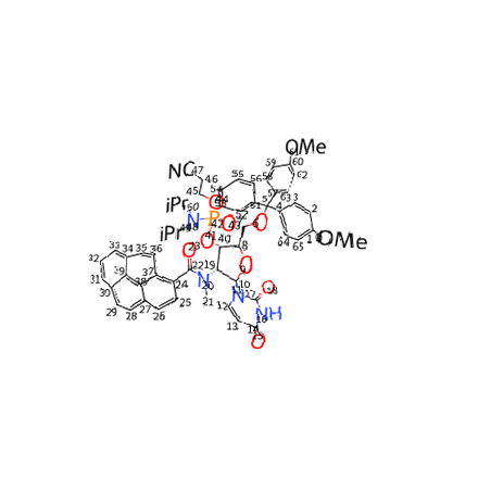 COc1ccc(C(OC[C@H]2O[C@@H](n3ccc(=O)[nH]c3=O)[C@H](N(C)C(=O)c3ccc4ccc5cccc6ccc3c4c56)[C@@H]2OP(=O)(OCCC#N)N(C(C)C)C(C)C)(c2ccccc2)c2ccc(OC)cc2)cc1